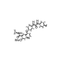 COc1cc2nccc(Oc3ccc(NC(=O)Nc4ccc(F)cc4)cc3)c2cc1C(=O)NC1CC1